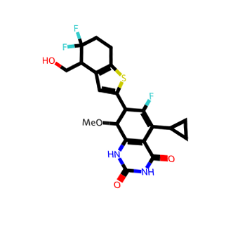 COC1c2[nH]c(=O)[nH]c(=O)c2C(C2CC2)=C(F)C1c1cc2c(s1)CCC(F)(F)C2CO